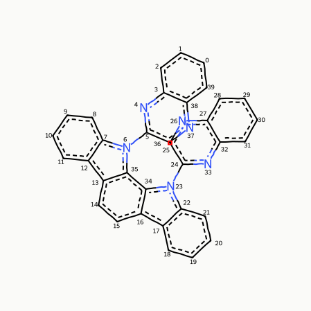 c1ccc2nc(-n3c4ccccc4c4ccc5c6ccccc6n(-c6cnc7ccccc7n6)c5c43)cnc2c1